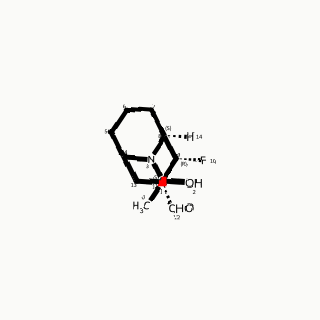 CB(O)N1C2CCC[C@H]1[C@H](F)[C@H](C=O)C2